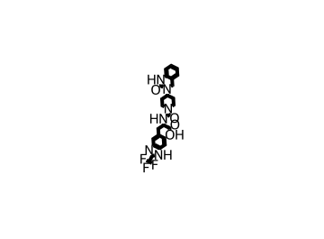 O=C(O)C(Cc1ccc2[nH]c(C(F)(F)F)nc2c1)NC(=O)N1CCC(N2Cc3ccccc3NC2=O)CC1